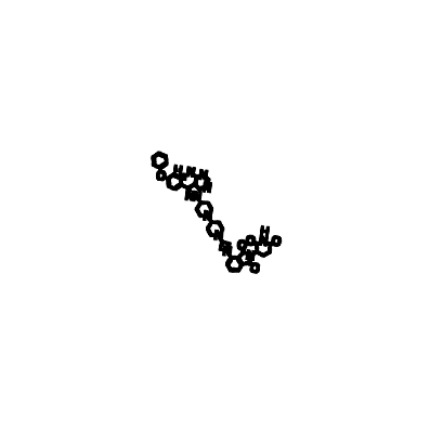 Nc1ncnc2c1c(-c1ccc(Oc3ccccc3)cc1)nn2C1CCN(C2CCN(C3CN(c4cccc5c4C(=O)N(C4CCC(=O)NC4=O)C5=O)C3)CC2)CC1